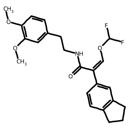 COc1ccc(CCNC(=O)C(=COC(F)F)c2ccc3c(c2)CCC3)cc1OC